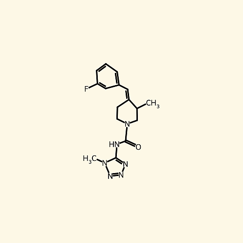 CC1CN(C(=O)Nc2nnnn2C)CCC1=Cc1cccc(F)c1